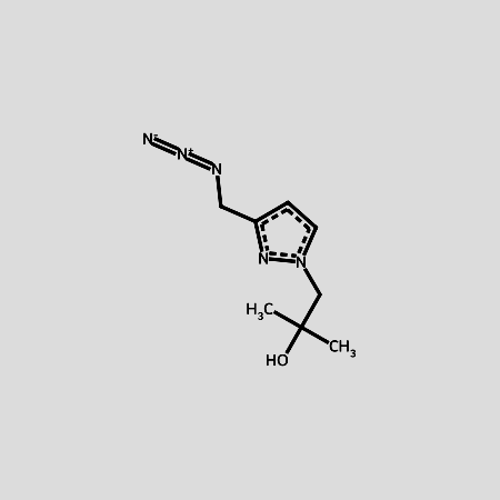 CC(C)(O)Cn1ccc(CN=[N+]=[N-])n1